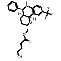 CCCCC(=O)OC[C@@H]1CC[C@H]2[C@@H](c3ccccc3)Nc3ccc(C(F)(F)F)cc3[C@H]2O1